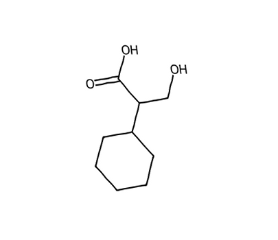 O=C(O)C(CO)C1CCCCC1